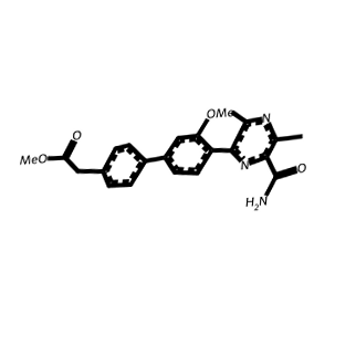 COC(=O)Cc1ccc(-c2ccc(-c3nc(C(N)=O)c(C)nc3C)c(OC)c2)cc1